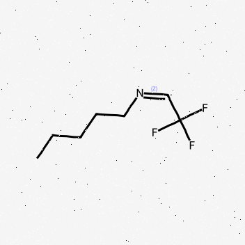 CCCCC/N=[C]\C(F)(F)F